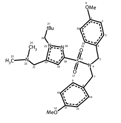 COc1ccc(CN(Cc2ccc(OC)cc2)S(=O)(=O)c2cc(CN(C)C)n(CC(C)(C)C)n2)cc1